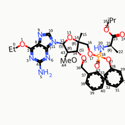 CCOc1nc(N)nc2c1ncn2[C@H]1O[C@](C)(COP(=O)(N[C@H](C)C(=O)OC(C)C)Oc2ccccc2)[C@@H](OCc2ccccc2)[C@H]1OC